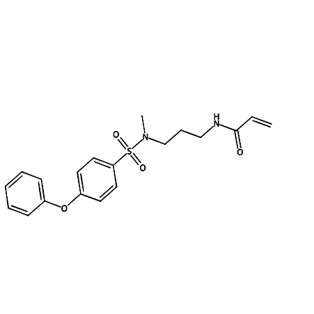 C=CC(=O)NCCCN(C)S(=O)(=O)c1ccc(Oc2ccccc2)cc1